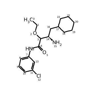 CCOC(C(=O)Nc1cccc(Cl)c1)[C@H](N)CC1CCCCC1